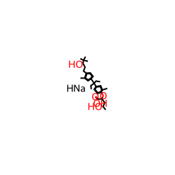 CCC(CC)(c1ccc(CCC(O)C(C)(C)C)c(C)c1)c1ccc(OC(CC(C)O)C(=O)O)c(C)c1.[NaH]